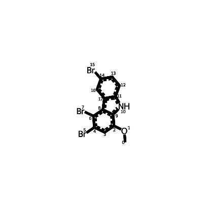 COc1cc(Br)c(Br)c2c1[nH]c1ccc(Br)cc12